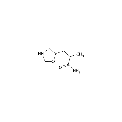 CC(CC1CNCO1)C(N)=O